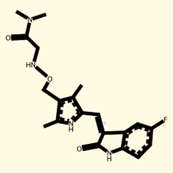 Cc1[nH]c(/C=C2\C(=O)Nc3ccc(F)cc32)c(C)c1CONCC(=O)N(C)C